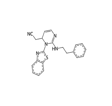 N#CCC1C=CN=C(NCCc2ccccc2)N1c1nc2ccccc2s1